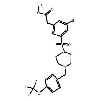 COC(=O)Cc1cc(Br)cc(S(=O)(=O)N2CCN(Cc3ccc(OC(F)(F)F)cc3)CC2)c1